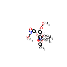 COCCCN1CCOc2ccc(CO[C@H]3CN(S(=O)(=O)c4ccc(C)cc4)C[C@@H](O[Si](C(C)C)(C(C)C)C(C)C)[C@@H]3c3ccc(COCCOC)cc3)cc21